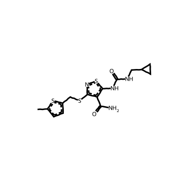 Cc1ccc(CSc2nsc(NC(=O)NCC3CC3)c2C(N)=O)s1